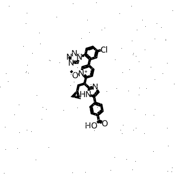 CO[n+]1cc(-c2cc(Cl)ccc2-n2cnnn2)ccc1C(CC1CC1)c1ncc(-c2ccc(C(=O)O)cc2)[nH]1